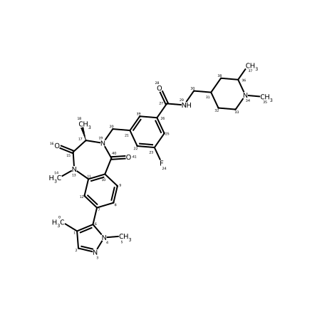 Cc1cnn(C)c1-c1ccc2c(c1)N(C)C(=O)[C@@H](C)N(Cc1cc(F)cc(C(=O)NCC3CCN(C)C(C)C3)c1)C2=O